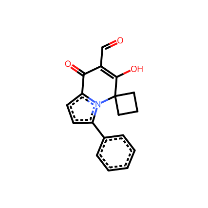 O=CC1=C(O)C2(CCC2)n2c(ccc2-c2ccccc2)C1=O